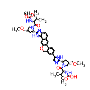 COC[C@H]1C[C@@H](c2ncc(-c3ccc4c(c3)COc3cc5c(ccc6nc([C@@H]7C[C@H](COC)CN7C(=O)[C@@H](NC(=O)OC)C(C)C)[nH]c65)cc3-4)[nH]2)N(C(=O)[C@@H](NC(=O)O)C(C)C)C1